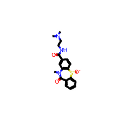 CN(C)CCNC(=O)c1ccc2c(c1)N(C)C(=O)c1ccccc1[S+]2[O-]